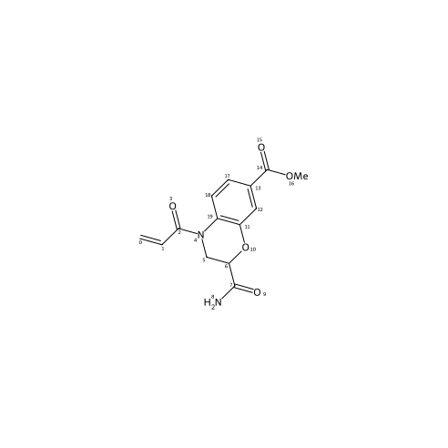 C=CC(=O)N1CC(C(N)=O)Oc2cc(C(=O)OC)ccc21